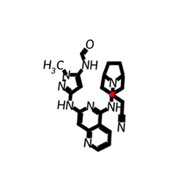 Cn1nc(Nc2cc3ncccc3c(NC3CC4CCC(C3)N4CCC#N)n2)cc1NC=O